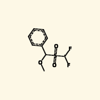 COC(c1ccccc1)S(=O)(=O)[C](F)F